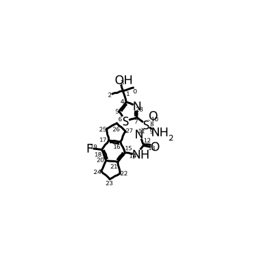 CC(C)(O)c1csc(S(N)(=O)=NC(=O)Nc2c3c(c(F)c4c2CCC4)CCC3)n1